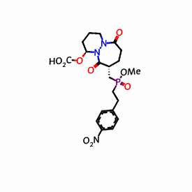 COP(=O)(CCc1ccc([N+](=O)[O-])cc1)C[C@H]1CCC(=O)N2CCC[C@H](OC(=O)O)N2C1=O